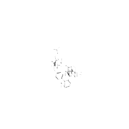 CCCCCc1nc(CCC(C)C)nn1Cc1ccc(-c2ncccc2-c2nnn[nH]2)cc1